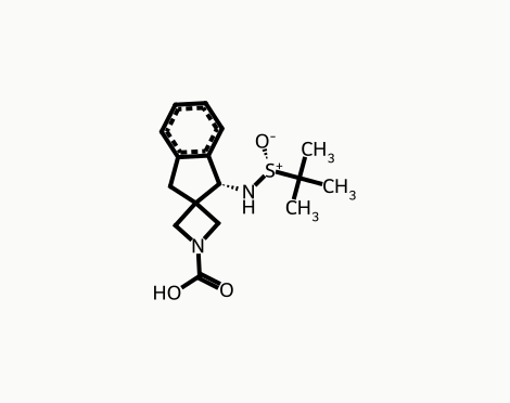 CC(C)(C)[S@@+]([O-])N[C@H]1c2ccccc2CC12CN(C(=O)O)C2